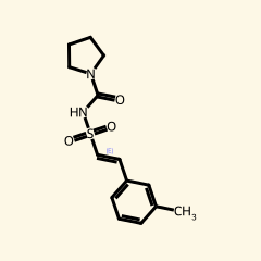 Cc1cccc(/C=C/S(=O)(=O)NC(=O)N2CCCC2)c1